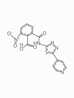 O=C(Nc1nnc(-c2ccncc2)s1)c1cccc([N+](=O)[O-])c1C(=O)O